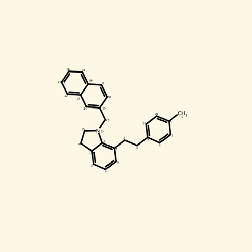 Cc1ccc(CCc2cccc3c2N(Cc2ccc4ccccc4c2)CC3)cc1